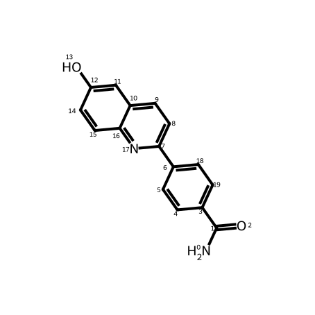 NC(=O)c1ccc(-c2ccc3cc(O)ccc3n2)cc1